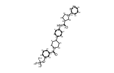 O=C(Nc1ccc(C2CCN(C(=O)c3cccc(OC(F)(F)F)c3)CC2)cc1)C1CCN(c2cccnn2)C1